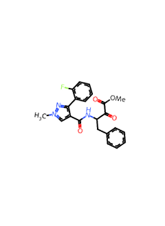 COC(=O)C(=O)C(Cc1ccccc1)NC(=O)c1cn(C)nc1-c1ccccc1F